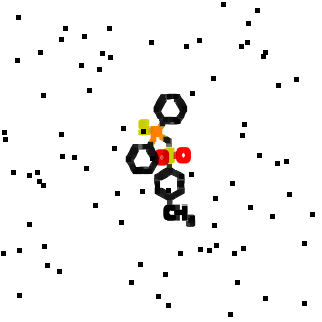 Cc1ccc(S(=O)(=O)CP(=S)(c2ccccc2)c2ccccc2)cc1